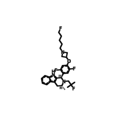 C[C@@H]1Cc2c([nH]c3ccccc23)[C@@H](c2cc(F)c(OC3CN(CCCCCF)C3)cc2F)N1CC(C)(C)F